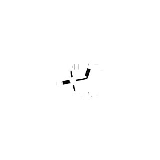 C=CP(=O)(O)O.[NaH]